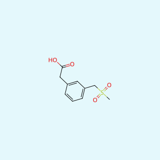 CS(=O)(=O)Cc1cccc(CC(=O)O)c1